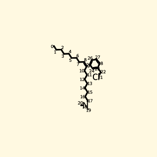 CCCCCCCC/C=C\CCCCCCCCN(C)C.ClCc1ccccc1